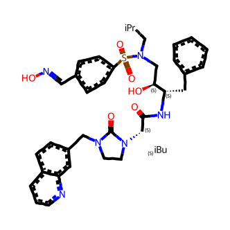 CC[C@H](C)[C@@H](C(=O)N[C@@H](Cc1ccccc1)[C@@H](O)CN(CC(C)C)S(=O)(=O)c1ccc(C=NO)cc1)N1CCN(Cc2ccc3cccnc3c2)C1=O